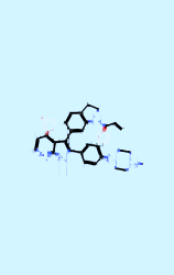 C=CC(=O)N1CCc2ccc(-c3c(-c4ccc(N5CCN(C)CC5)cc4)[nH]c4nccc(OC)c34)cc21